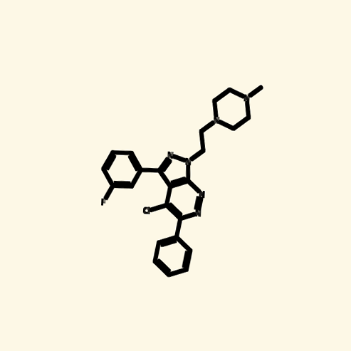 CN1CCN(CCn2nc(-c3cccc(F)c3)c3c(Cl)c(-c4ccccc4)nnc32)CC1